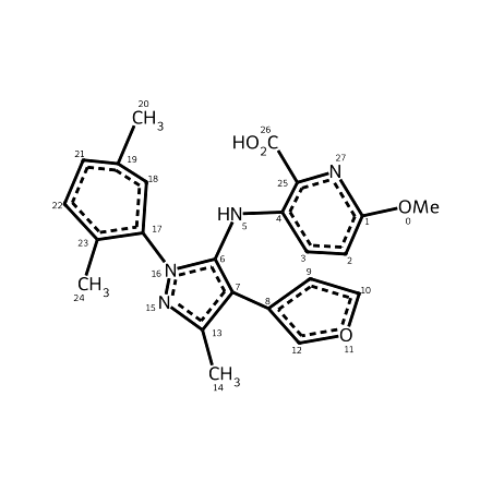 COc1ccc(Nc2c(-c3ccoc3)c(C)nn2-c2cc(C)ccc2C)c(C(=O)O)n1